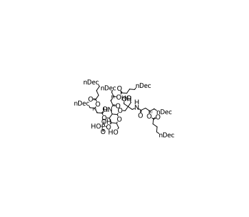 CCCCCCCCCCCCCC(=O)O[C@H](CCCCCCCCCCC)CC(=O)NCC(CO)(CO)COC1OC(CO)C(OP(=O)(O)O)C(OC(=O)C[C@@H](CCCCCCCCCCC)OC(=O)CCCCCCCCCCCCC)C1NC(=O)C[C@@H](CCCCCCCCCCC)OC(=O)CCCCCCCCCCCCC